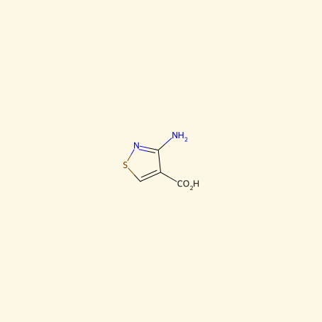 Nc1nscc1C(=O)O